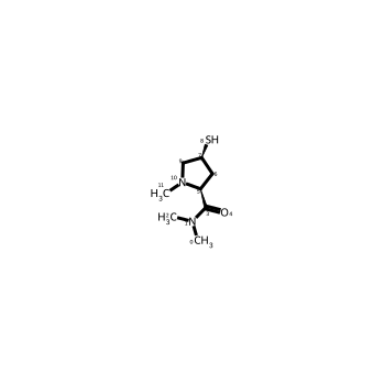 CN(C)C(=O)[C@@H]1C[C@H](S)CN1C